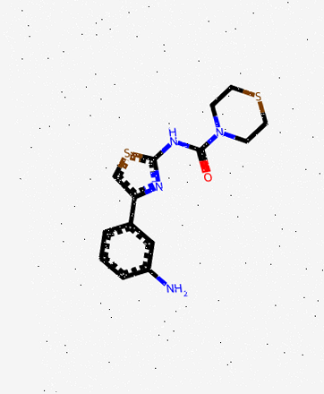 Nc1cccc(-c2csc(NC(=O)N3CCSCC3)n2)c1